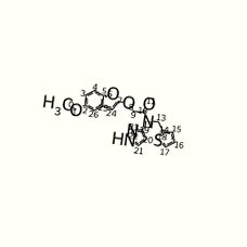 COc1ccc2oc(OCC(=O)N(Cc3cccs3)c3cc[nH]n3)cc2c1